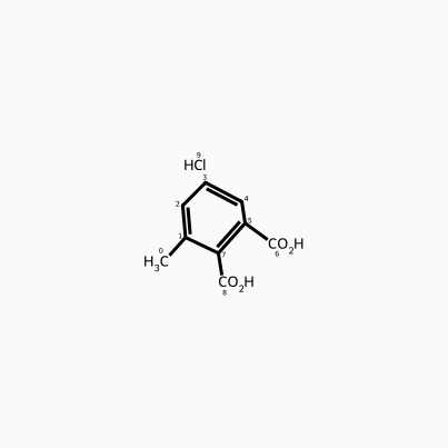 Cc1cccc(C(=O)O)c1C(=O)O.Cl